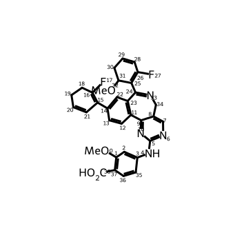 COc1cc(Nc2ncc3c(n2)-c2ccc(C4=C(F)CCC=C4)cc2C(C2=C(F)C=CCC2OC)=NC3)ccc1C(=O)O